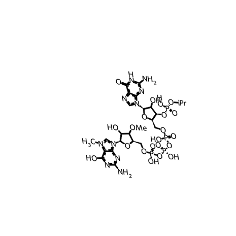 COC1C(O)[C@H](n2c[n+](C)c3c(O)nc(N)nc32)O[C@@H]1COP(=O)(O)OP(=O)(O)OP(=O)(O)OC[C@H]1O[C@@H](n2cnc3c(=O)[nH]c(N)nc32)C(O)[C@H]1OP(=O)(O)OC(C)C